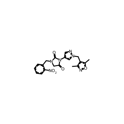 Cc1noc(C)c1Cn1cc(N2C(=O)CN(Cc3ccccc3[N+](=O)[O-])C2=O)cn1